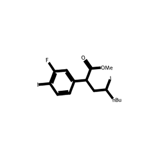 CCCCC(I)CC(C(=O)OC)c1ccc(I)c(F)c1